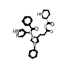 O=C(CCC1=CN(c2ccccc2)CN1N(C(=O)c1ccccc1)c1cn[nH]c1)OC(=O)[C@H]1CCCNC1